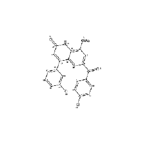 COc1cc(C(=O)c2ccc(Cl)cc2)cc2c(-c3cccc(Cl)c3)cc(=O)[nH]c12